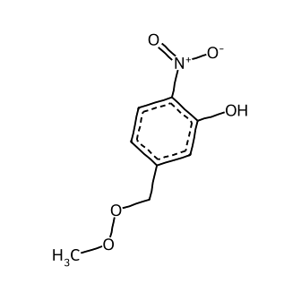 COOCc1ccc([N+](=O)[O-])c(O)c1